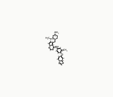 CC[C@H]1C[C@H](N)CCN1Cc1ccn2ncnc(Nc3ccc(Oc4ccn5ncnc5c4)c(C)c3)c12